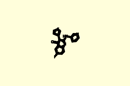 O=c1c2cc(F)ccc2nc(Nc2cccnc2)n1-c1ccsc1